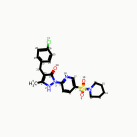 Cc1[nH]n(-c2ccc(S(=O)(=O)N3CCCCC3)cn2)c(=O)c1Cc1ccc(Cl)cc1